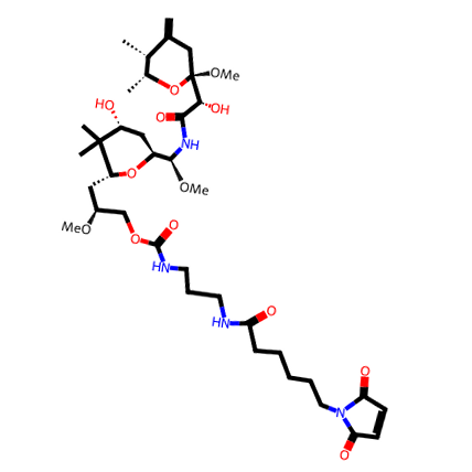 C=C1C[C@](OC)([C@H](O)C(=O)N[C@@H](OC)[C@@H]2C[C@@H](O)C(C)(C)[C@@H](C[C@@H](COC(=O)NCCCNC(=O)CCCCCN3C(=O)C=CC3=O)OC)O2)O[C@H](C)[C@@H]1C